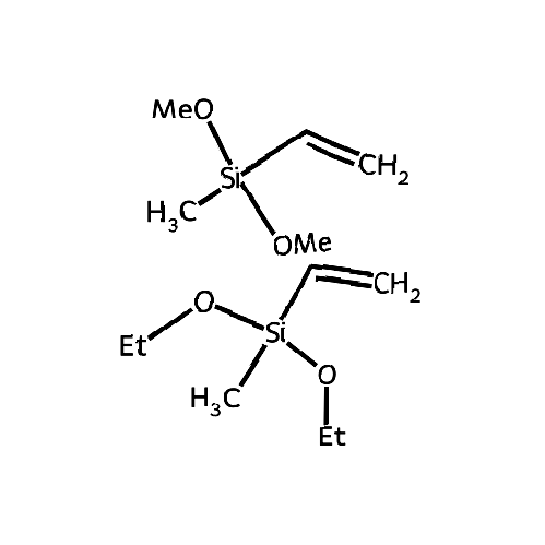 C=C[Si](C)(OC)OC.C=C[Si](C)(OCC)OCC